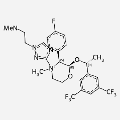 CNCCn1cnc([N+]2(C)CCO[C@H](O[C@H](C)c3cc(C(F)(F)F)cc(C(F)(F)F)c3)[C@@H]2c2ccc(F)cc2)n1